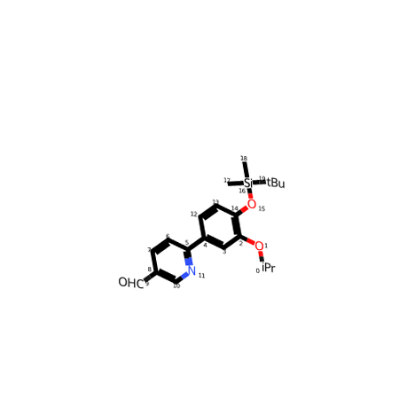 CC(C)Oc1cc(-c2ccc(C=O)cn2)ccc1O[Si](C)(C)C(C)(C)C